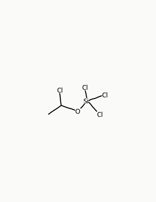 CC(Cl)O[Si](Cl)(Cl)Cl